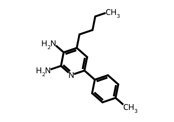 CCCCc1cc(-c2ccc(C)cc2)nc(N)c1N